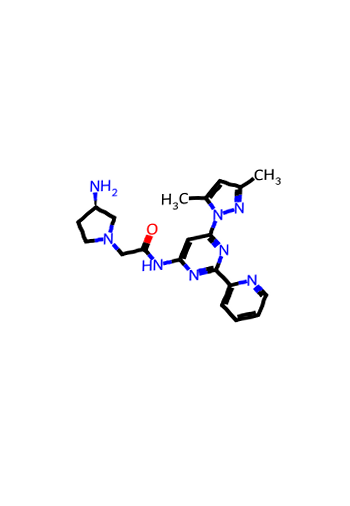 Cc1cc(C)n(-c2cc(NC(=O)CN3CC[C@@H](N)C3)nc(-c3ccccn3)n2)n1